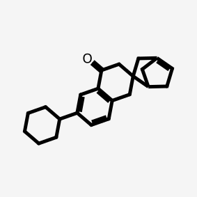 O=C1CC2(CC3=CCC2C3)Cc2ccc(C3CCCCC3)cc21